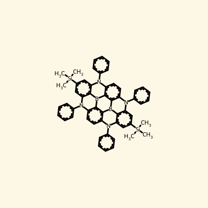 C[Si](C)(C)c1cc2c3c(c1)N(c1ccccc1)c1ccc4c5c1B3c1c(ccc3c1B5c1c(cc([Si](C)(C)C)cc1N4c1ccccc1)N3c1ccccc1)N2c1ccccc1